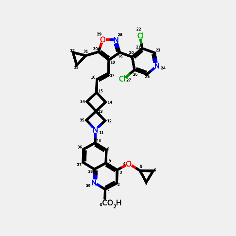 O=C(O)c1cc(OC2CC2)c2cc(N3CC4(CC(C=Cc5c(-c6c(Cl)cncc6Cl)noc5C5CC5)C4)C3)ccc2n1